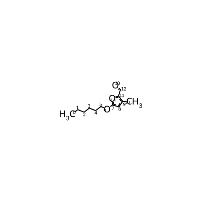 CCCCCCOc1cc(C)c(C=O)o1